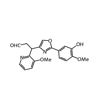 COc1ccc(-c2nc(C(CC=O)c3ncccc3OC)co2)cc1O